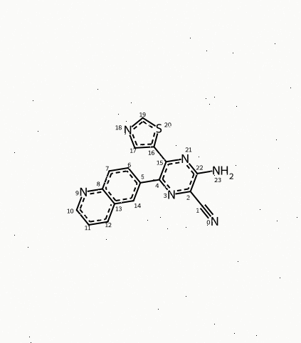 N#Cc1nc(-c2ccc3ncccc3c2)c(-c2cncs2)nc1N